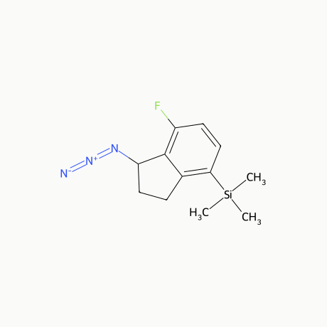 C[Si](C)(C)c1ccc(F)c2c1CCC2N=[N+]=[N-]